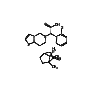 CC12CCC(CC1=O)C2(C)C.O=C(O)C(c1ccccc1Cl)N1CCc2sccc2C1